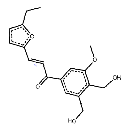 CCc1ccc(/C=C/C(=O)c2cc(CO)c(CO)c(OC)c2)o1